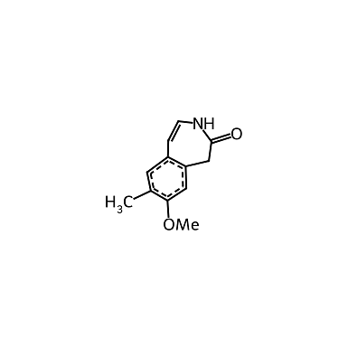 COc1cc2c(cc1C)C=CNC(=O)C2